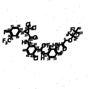 CC(F)(F)C(F)(F)OCC(=O)Nc1c(F)ccc(NC(=O)c2cc(NC(=O)[C@H]3[C@H](c4ccc(F)c(C(F)(F)F)c4)C3(Cl)Cl)ccc2Cl)c1F